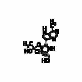 Cc1ncnc2c([C@@H]3N[C@H](CO)C[C@H]3OC(C)(C)O)c[nH]c12